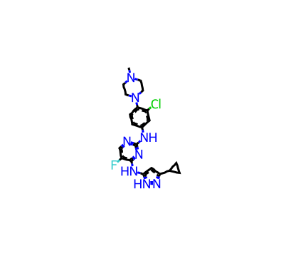 CN1CCN(c2ccc(Nc3ncc(F)c(Nc4cc(C5CC5)n[nH]4)n3)cc2Cl)CC1